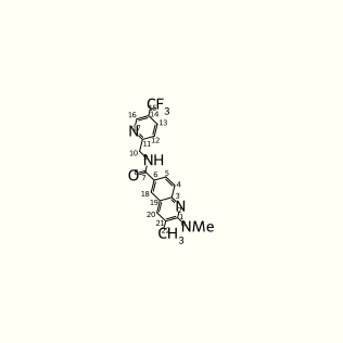 CNc1nc2ccc(C(=O)NCc3ccc(C(F)(F)F)cn3)cc2cc1C